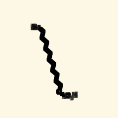 CCC(C)CCCCCCCCCCCOS(=O)(=O)O